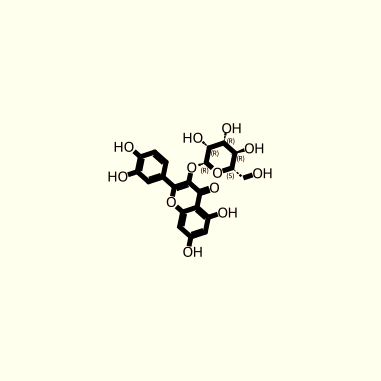 O=c1c(O[C@H]2O[C@@H](CO)[C@H](O)[C@@H](O)[C@H]2O)c(-c2ccc(O)c(O)c2)oc2cc(O)cc(O)c12